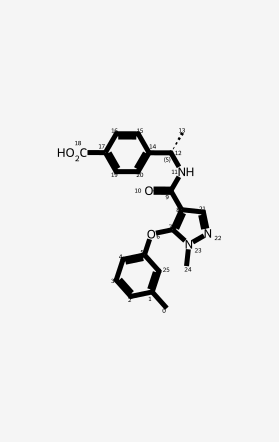 Cc1cccc(Oc2c(C(=O)N[C@@H](C)c3ccc(C(=O)O)cc3)cnn2C)c1